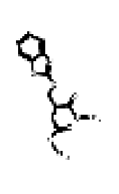 COC(=O)CC(CSc1nc2ccccc2s1)C(=O)OC